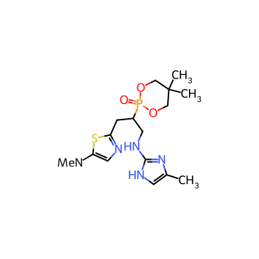 CNc1cnc(CC(CNc2nc(C)c[nH]2)P2(=O)OCC(C)(C)CO2)s1